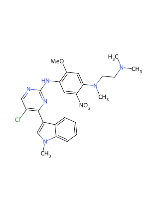 COc1cc(N(C)CCN(C)C)c([N+](=O)[O-])cc1Nc1ncc(Cl)c(-c2cn(C)c3ccccc23)n1